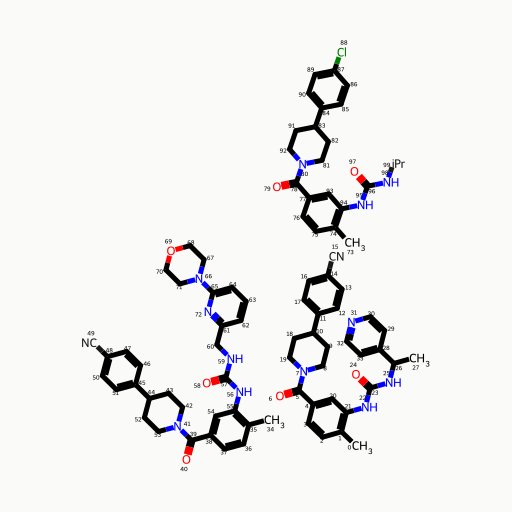 Cc1ccc(C(=O)N2CCC(c3ccc(C#N)cc3)CC2)cc1NC(=O)NC(C)c1ccncc1.Cc1ccc(C(=O)N2CCC(c3ccc(C#N)cc3)CC2)cc1NC(=O)NCc1cccc(N2CCOCC2)n1.Cc1ccc(C(=O)N2CCC(c3ccc(Cl)cc3)CC2)cc1NC(=O)NC(C)C